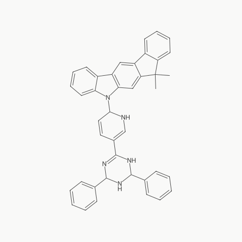 CC1(C)c2ccccc2-c2cc3c4ccccc4n(C4C=CC(C5=NC(c6ccccc6)NC(c6ccccc6)N5)=CN4)c3cc21